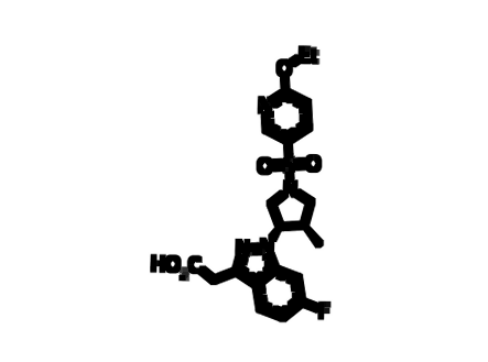 CCOc1ccc(S(=O)(=O)N2C[C@@H](C)[C@@H](n3nc(CC(=O)O)c4ccc(F)cc43)C2)cn1